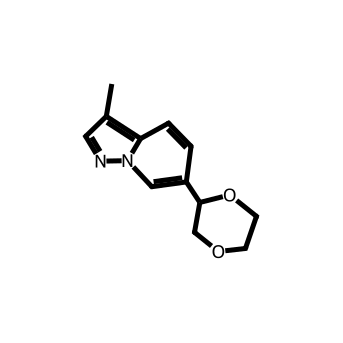 Cc1cnn2cc(C3COCCO3)ccc12